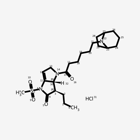 CCC[C@H]1C(=O)N(S(C)(=O)=O)C2=CCN(C(=O)CCCCCN3C4CCCC3CC4)[C@@H]21.Cl